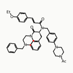 CCOc1ccc(/C=C/C(=O)N(Cc2ccc(N3CCN(C(C)=O)CC3)cc2)[C@@H](Cc2ccccc2)C(=O)N2CCN(Cc3ccccc3)CC2)cc1